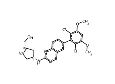 COc1cc(OC)c(Cl)c(-c2ccc3nc(N[C@@H]4CN[C@H](CO)C4)ncc3c2)c1Cl